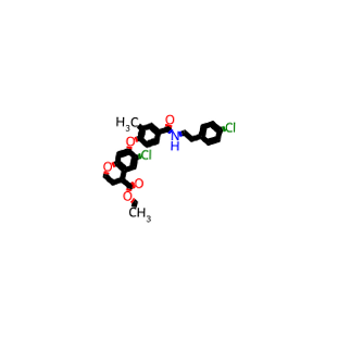 CCOC(=O)C1CCOc2cc(Oc3ccc(C(=O)NCCc4ccc(Cl)cc4)cc3C)c(Cl)cc21